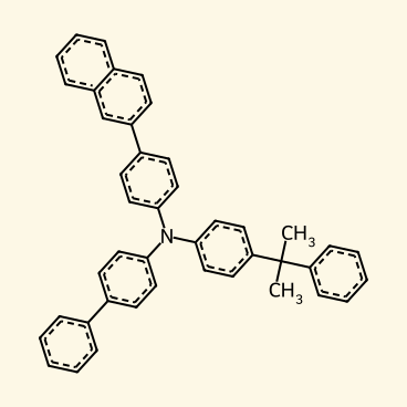 CC(C)(c1ccccc1)c1ccc(N(c2ccc(-c3ccccc3)cc2)c2ccc(-c3ccc4ccccc4c3)cc2)cc1